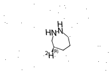 [2H][C@@H]1CCCNNC1